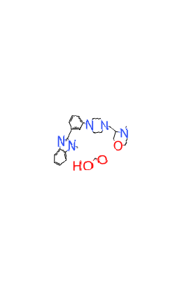 CN1CCOCC1CN1CCN(c2cccc(-c3nc4ccccc4n3C)c2)CC1.O=CO